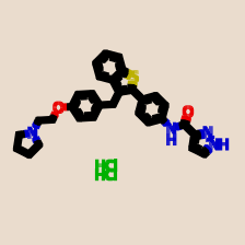 Cl.Cl.O=C(Nc1ccc(-c2sc3ccccc3c2Cc2ccc(OCCN3CCCC3)cc2)cc1)c1cc[nH]n1